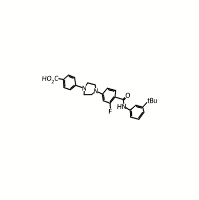 CC(C)(C)c1cccc(NC(=O)c2ccc(N3CCN(c4ccc(C(=O)O)cc4)CC3)cc2F)c1